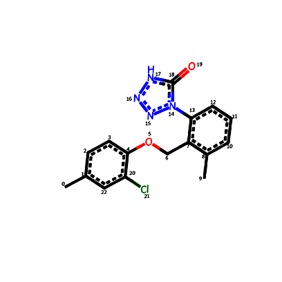 Cc1ccc(OCc2c(C)cccc2-n2nn[nH]c2=O)c(Cl)c1